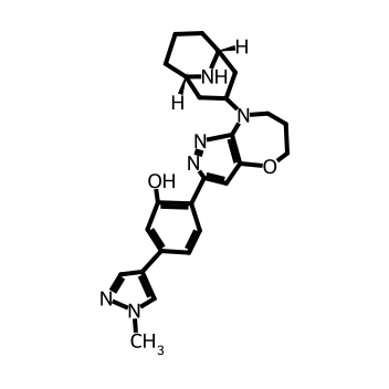 Cn1cc(-c2ccc(-c3cc4c(nn3)N(C3C[C@H]5CCC[C@@H](C3)N5)CCCO4)c(O)c2)cn1